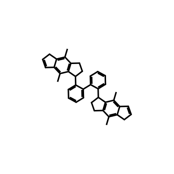 Cc1c2c(c(C)c3c1CCC3c1ccccc1-c1ccccc1C1CCc3c(C)c4c(c(C)c31)C=CC4)C=CC2